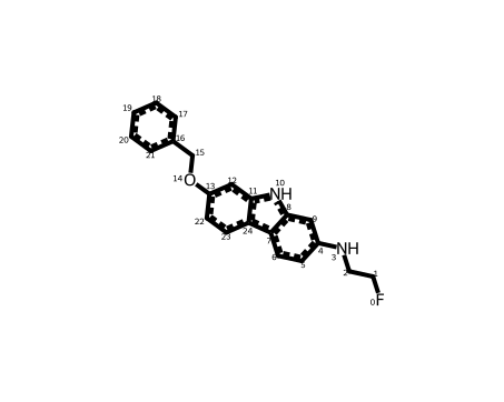 FCCNc1ccc2c(c1)[nH]c1cc(OCc3ccccc3)ccc12